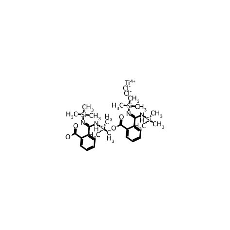 C[Si](C)(C)N=C(N[Si](C)(C)C)c1ccccc1C(=O)[O-].C[Si](C)(C)N=C(N[Si](C)(C)C)c1ccccc1C(=O)[O-].[Cl-].[Cl-].[Ti+4]